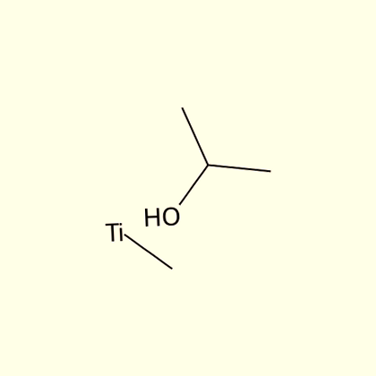 CC(C)O.[CH3][Ti]